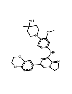 COc1cc(NC2=NC(c3ccc4c(c3)OCCN4)=CN3CCN=C23)ccc1N1CCC(C)(O)CC1